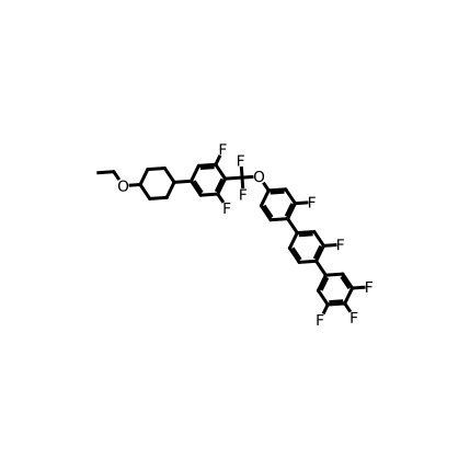 CCOC1CCC(c2cc(F)c(C(F)(F)Oc3ccc(-c4ccc(-c5cc(F)c(F)c(F)c5)c(F)c4)c(F)c3)c(F)c2)CC1